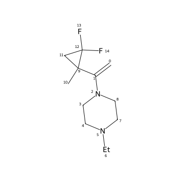 C=C(N1CCN(CC)CC1)C1(C)CC1(F)F